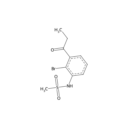 CCC(=O)c1cccc(NS(C)(=O)=O)c1Br